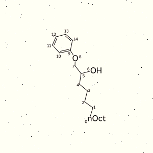 CCCCCCCCCCCCC(O)COc1cc[c]cc1